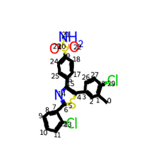 Cc1cc(-c2sc(-c3ccccc3Cl)nc2-c2ccc(S(N)(=O)=O)cc2)ccc1Cl